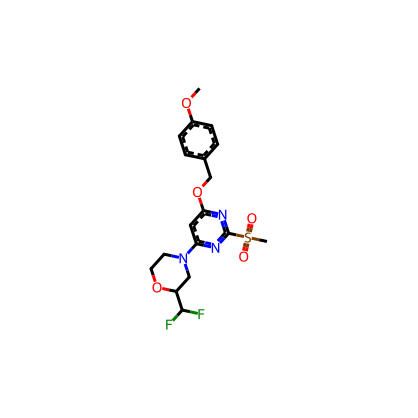 COc1ccc(COc2cc(N3CCOC(C(F)F)C3)nc(S(C)(=O)=O)n2)cc1